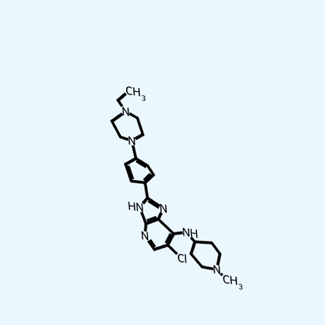 CCN1CCN(c2ccc(-c3nc4c(NC5CCN(C)CC5)c(Cl)cnc4[nH]3)cc2)CC1